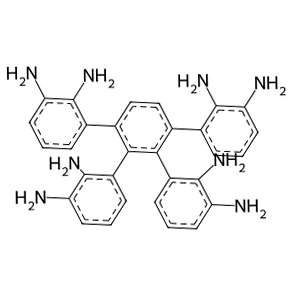 Nc1cccc(-c2ccc(-c3cccc(N)c3N)c(-c3cccc(N)c3N)c2-c2cccc(N)c2N)c1N